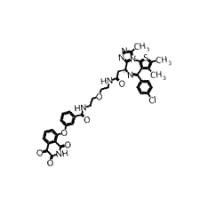 Cc1sc2c(c1C)C(c1ccc(Cl)cc1)=N[C@@H](CC(=O)NCCOCCNC(=O)c1cccc(Oc3cccc4c3C(=O)NC(=O)C4=O)c1)c1nnc(C)n1-2